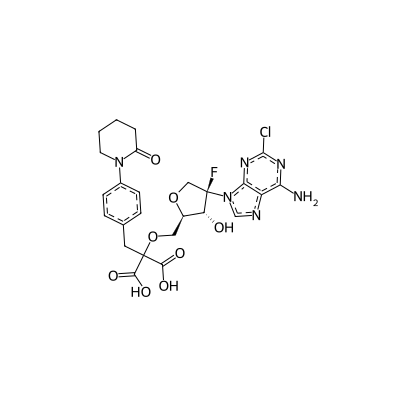 Nc1nc(Cl)nc2c1ncn2[C@@]1(F)CO[C@H](COC(Cc2ccc(N3CCCCC3=O)cc2)(C(=O)O)C(=O)O)[C@H]1O